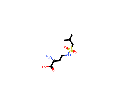 CC(C)CS(=O)(=O)NCC[C@H](N)C(=O)O